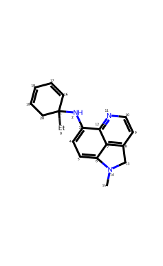 CCC1(Nc2ccc3c4c(ccnc24)CN3C)C=CC=CC1